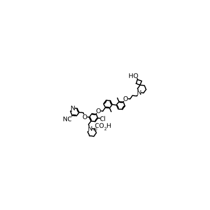 Cc1c(COc2cc(OCc3cncc(C#N)c3)c(CN3CCCC[C@H]3C(=O)O)cc2Cl)cccc1-c1cccc(OCCCN2CCCC3(CC(O)C3)C2)c1C